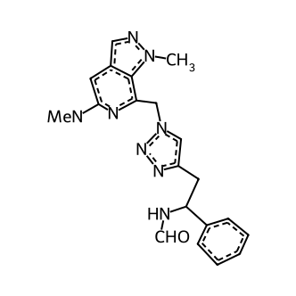 CNc1cc2cnn(C)c2c(Cn2cc(CC(NC=O)c3ccccc3)nn2)n1